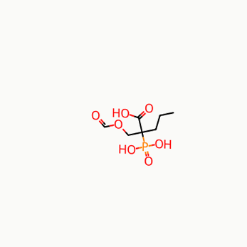 CCCC(COC=O)(C(=O)O)P(=O)(O)O